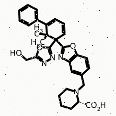 CC1(C)C(c2ccccc2)=CC=CC1(c1nnc(CO)o1)c1nc2cc(CN3CCCC[C@H]3C(=O)O)ccc2o1